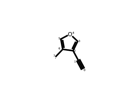 C#Cc1cocc1[CH2]